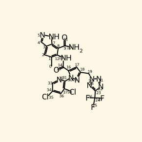 Cc1cc2cn[nH]c2c(C(N)=O)c1NC(=O)c1cc(Cn2nnc(C(F)(F)F)n2)nn1-c1ncc(Cl)cc1Cl